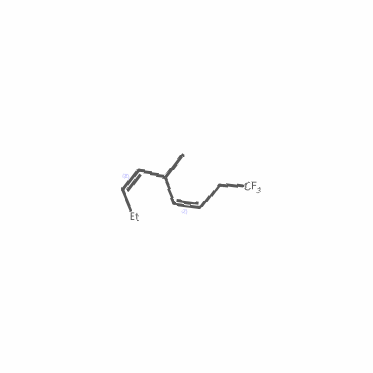 CC/C=C\C(C)/C=C\CC(F)(F)F